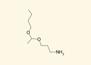 CCCCOC(C)OCCCN